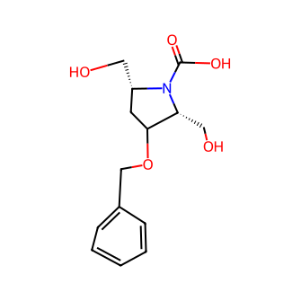 O=C(O)N1[C@@H](CO)CC(OCc2ccccc2)[C@H]1CO